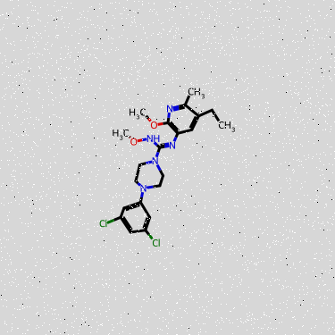 CCc1cc(N=C(NOC)N2CCN(c3cc(Cl)cc(Cl)c3)CC2)c(OC)nc1C